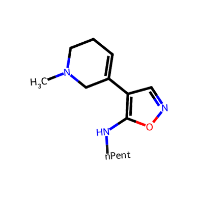 CCCCCNc1oncc1C1=CCCN(C)C1